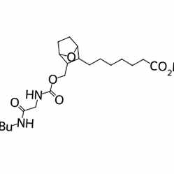 CCCCNC(=O)CNC(=O)OCC1C2CCC(O2)C1CCCCCCC(=O)O